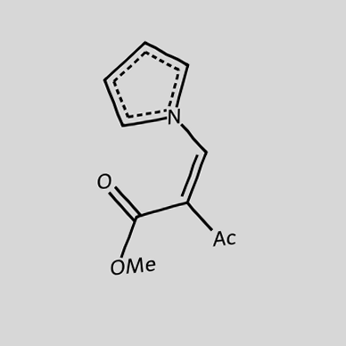 COC(=O)C(=Cn1cccc1)C(C)=O